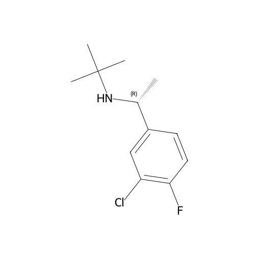 C[C@@H](NC(C)(C)C)c1ccc(F)c(Cl)c1